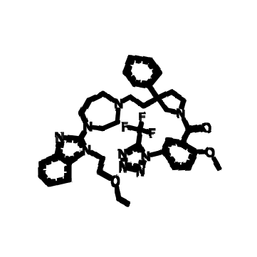 CCOCCn1c(N2CCCN(CCC3(c4ccccc4)CCN(C(=O)c4cc(-n5nnnc5C(F)(F)F)ccc4OC)C3)CC2)nc2ccccc21